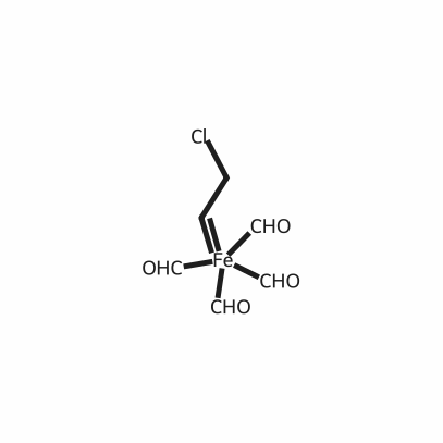 O=[CH][Fe]([CH]=O)([CH]=O)([CH]=O)=[CH]CCl